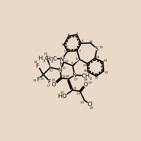 CNc1cccc2c1[C@H](C1CN([C@H](C)C(F)(F)F)C(=O)/C(=C(\O)C(=O)CCl)N1C)c1ccccc1SC2